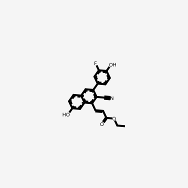 CCOC(=O)C=Cc1c(C#N)c(-c2ccc(O)c(F)c2)cc2ccc(O)cc12